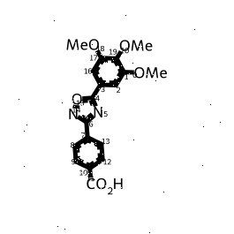 COc1cc(-c2nc(-c3ccc(C(=O)O)cc3)no2)cc(OC)c1OC